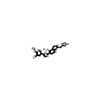 Cc1c(-c2ncc(-c3cnc(OC(C)C)c(Cl)c3)s2)ccc2c1CCC2Cc1nn[nH]n1